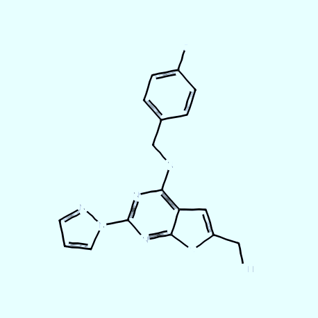 CCc1cc2c(NCc3ccc(F)cc3)nc(-n3cccn3)nc2s1